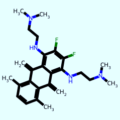 C=c1c2c(C)ccc(C)c2c(=C)c2c(NCCN(C)C)c(F)c(F)c(NCCN(C)C)c12